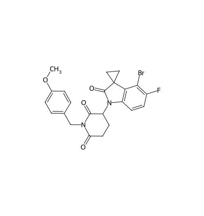 COc1ccc(CN2C(=O)CCC(N3C(=O)C4(CC4)c4c3ccc(F)c4Br)C2=O)cc1